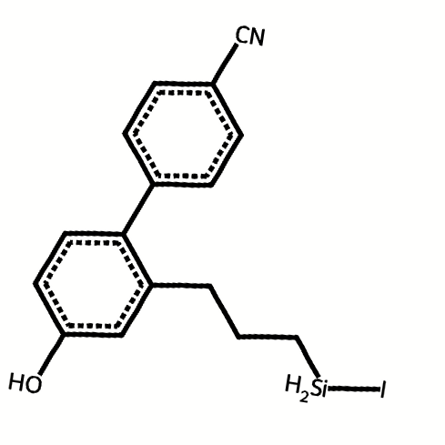 N#Cc1ccc(-c2ccc(O)cc2CCC[SiH2]I)cc1